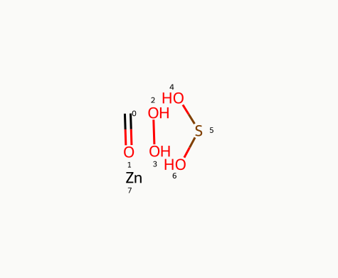 C=O.OO.OSO.[Zn]